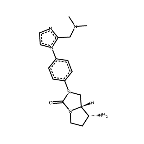 CN(C)Cc1nccn1-c1ccc(N2C[C@@H]3[C@H](N)CCN3C2=O)cc1